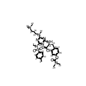 Cc1ccc(S(=O)(=O)N(C)c2nc(N[C@@H](Cc3ccc(OC(=O)N(C)C)cc3)C(=O)O)nc(N(C)CCCN(C)C)n2)cc1